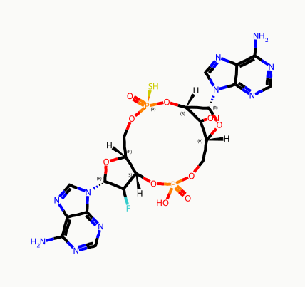 Nc1ncnc2c1ncn2[C@@H]1O[C@@H]2CO[P@@](=O)(S)O[C@H]3C(O)[C@@H](COP(=O)(O)O[C@@H]2C1F)O[C@H]3n1cnc2c(N)ncnc21